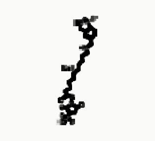 O=C(CCCCCCCCCCNCc1ccc([N+](=O)[O-])c(CO)c1)ON1C(=O)CC(S(=O)(=O)O)C1=O.[NaH]